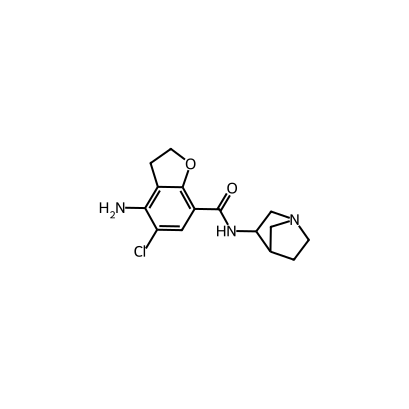 Nc1c(Cl)cc(C(=O)NC2CN3CCC2C3)c2c1CCO2